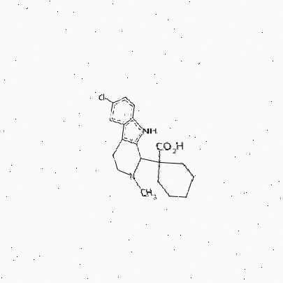 CN1CCc2c([nH]c3ccc(Cl)cc23)C1C1(C(=O)O)CCCCC1